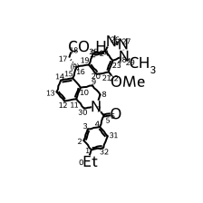 CCc1ccc(C(=O)N2CCc3c(cccc3[C@H](CC(=O)O)c3cc(OC)c4c(c3)nnn4C)C2)cc1